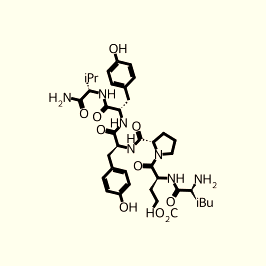 CC[C@H](C)[C@H](N)C(=O)N[C@@H](CCC(=O)O)C(=O)N1CCC[C@H]1C(=O)N[C@@H](Cc1ccc(O)cc1)C(=O)N[C@@H](Cc1ccc(O)cc1)C(=O)N[C@H](C(N)=O)C(C)C